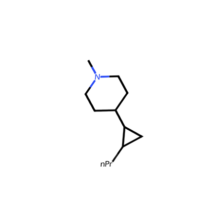 CCCC1CC1C1CCN(C)CC1